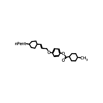 CCCCCC1CCC(C=CCOc2ccc(OC(=O)C3CCC(C)CC3)cc2)CC1